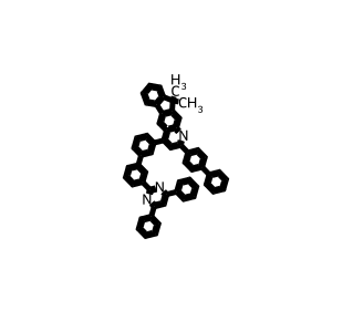 CC1(C)c2ccccc2-c2cc3c(-c4cccc(-c5cccc(-c6nc(-c7ccccc7)cc(-c7ccccc7)n6)c5)c4)cc(-c4ccc(-c5ccccc5)cc4)nc3cc21